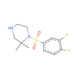 CC1(C)CNCCN1S(=O)(=O)c1ccc(F)c(F)c1